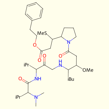 CCC(C)C(NCC(=O)C(NC(=O)C(C(C)C)N(C)C)C(C)C)C(CC(=O)N1CCCC1C(CC(=O)OCCc1ccccc1)SC)OC